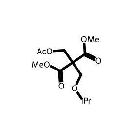 COC(=O)C(COC(C)=O)(COC(C)C)C(=O)OC